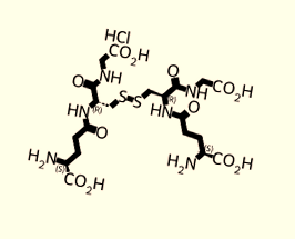 Cl.N[C@@H](CCC(=O)N[C@@H](CSSC[C@H](NC(=O)CC[C@H](N)C(=O)O)C(=O)NCC(=O)O)C(=O)NCC(=O)O)C(=O)O